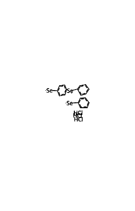 Cl.Cl.Cl.[Se]c1ccccc1.[Se]c1ccccc1.[Se]c1ccccc1